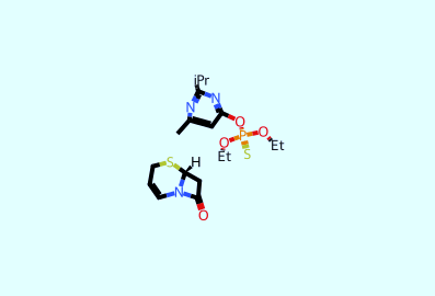 CCOP(=S)(OCC)Oc1cc(C)nc(C(C)C)n1.O=C1C[C@H]2SCC=CN12